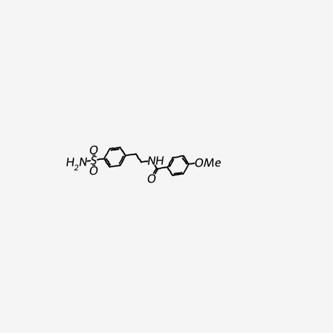 COc1ccc(C(=O)NCCc2ccc(S(N)(=O)=O)cc2)cc1